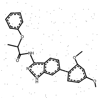 COc1ccc(-c2ccc3c(NC(=O)C(C)Oc4ccccc4)n[nH]c3c2)c(OC)c1